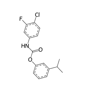 CC(C)c1cccc(OC(=O)Nc2ccc(Cl)c(F)c2)c1